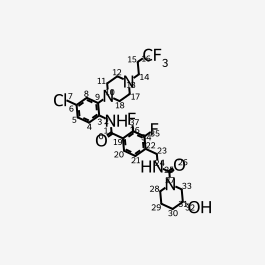 O=C(Nc1ccc(Cl)cc1N1CCN(CCC(F)(F)F)CC1)c1ccc(CNC(=O)N2CCC[C@@H](O)C2)c(F)c1F